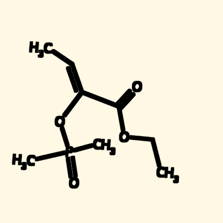 CC=C(OP(C)(C)=O)C(=O)OCC